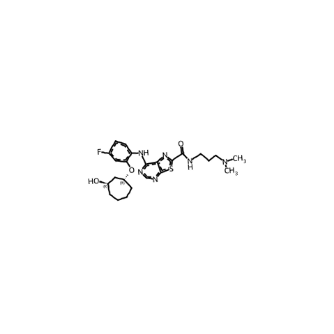 CN(C)CCCNC(=O)c1nc2c(Nc3ccc(F)cc3O[C@@H]3CCCC[C@@H](O)C3)ncnc2s1